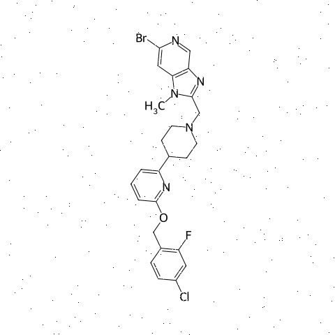 Cn1c(CN2CCC(c3cccc(OCc4ccc(Cl)cc4F)n3)CC2)nc2cnc(Br)cc21